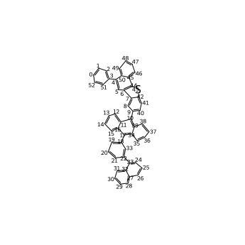 c1ccc(-c2cc3c4cc(-c5c6ccccc6c(-c6cccc(-c7cccc8ccccc78)c6)c6ccccc56)ccc4sc3c3ccccc23)cc1